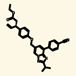 C=C[C@@H](CC(=O)OCC)c1ccc(OCc2cc(-c3ccc(C#N)cc3)c3nc(C(C)C)nn3c2)cc1